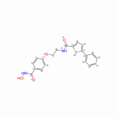 O=C(NO)c1ccc(OCCNC(=O)c2ccc(-c3ccccc3)s2)cc1